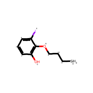 Oc1cccc(I)c1OCCC[SiH3]